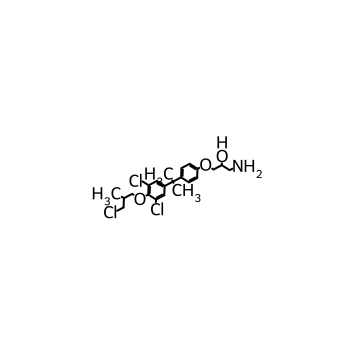 CC(CCl)COc1c(Cl)cc(C(C)(C)c2ccc(OCC(O)CN)cc2)cc1Cl